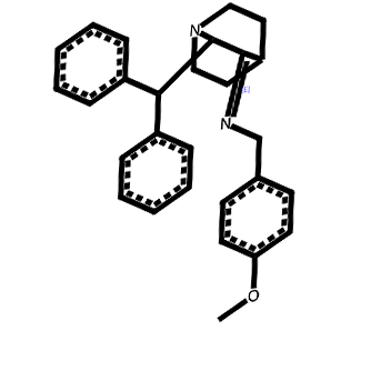 COc1ccc(C/N=C2\C3CCN(CC3)C2C(c2ccccc2)c2ccccc2)cc1